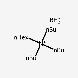 CCCCCC[N+](CCCC)(CCCC)CCCC.[BH4-]